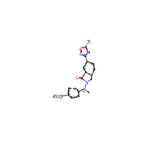 COc1ccc([C@H](C)N2Cc3ccc(-c4noc(C(F)(F)F)n4)cc3C2=O)cc1